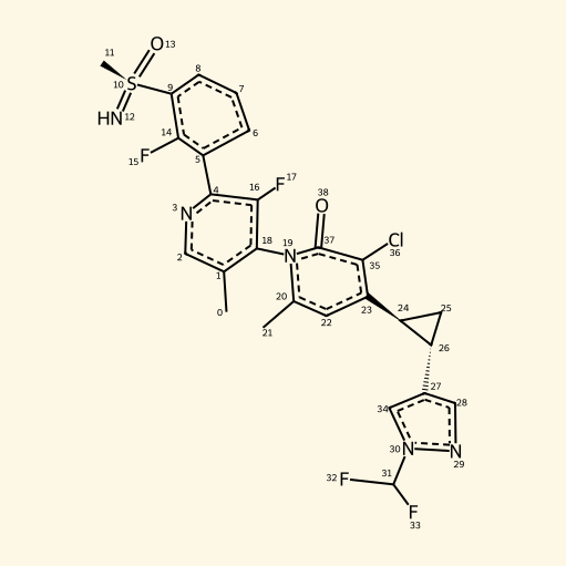 Cc1cnc(-c2cccc([S@](C)(=N)=O)c2F)c(F)c1-n1c(C)cc([C@H]2C[C@@H]2c2cnn(C(F)F)c2)c(Cl)c1=O